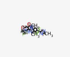 Cc1cnc(C(F)(F)c2cccc([C@@H](C)Nc3nn(C)c(=O)c4cc(=O)n(C5(C(F)F)CC5)cc34)c2F)cn1